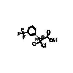 O=C(O)[C@@H]1[C@@H](c2cccc(C(F)(F)F)c2)C1(Cl)Cl